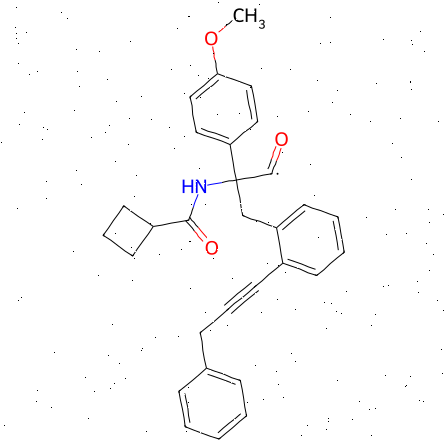 COc1ccc(C([C]=O)(Cc2ccccc2C#CCc2ccccc2)NC(=O)C2CCC2)cc1